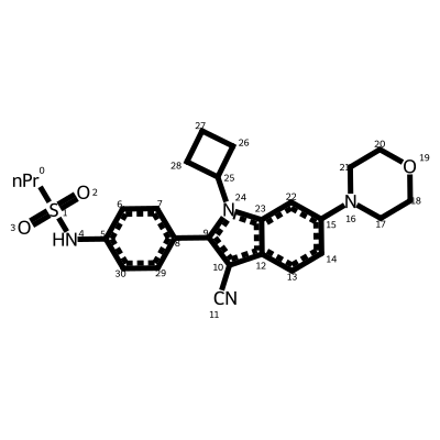 CCCS(=O)(=O)Nc1ccc(-c2c(C#N)c3ccc(N4CCOCC4)cc3n2C2CCC2)cc1